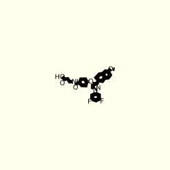 COc1ccc2cc(-c3nn(-c4cc(F)cc(F)c4)cc3OC3=CCC(C(=O)NCCC(=O)O)C=C3)ccc2c1